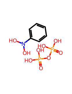 O=P(O)(O)OP(=O)(O)O.ON(O)c1ccccc1